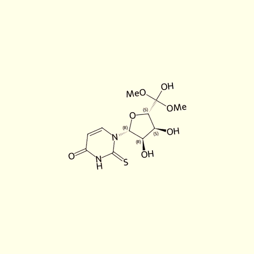 COC(O)(OC)[C@H]1O[C@@H](n2ccc(=O)[nH]c2=S)[C@H](O)[C@@H]1O